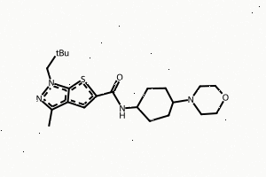 Cc1nn(CC(C)(C)C)c2sc(C(=O)NC3CCC(N4CCOCC4)CC3)cc12